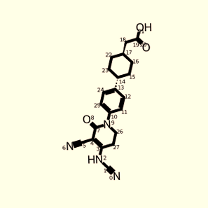 N#CNC1=C(C#N)C(=O)N(c2ccc([C@H]3CC[C@H](CC(=O)O)CC3)cc2)CC1